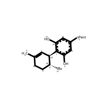 CCCCCc1cc(O)c([C@@H]2C=C(C)CC[C@H]2C(C)(C)C)c(O)c1